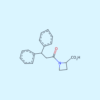 O=C(O)C1CCN1C(=O)CC(c1ccccc1)c1ccccc1